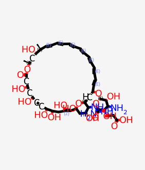 C[C@H]1CC(O)[C@@H](C)/C=C/C=C/C=C/C=C/C=C/C=C/C=C/C(O[C@H]2OC(N)C(O)C(N)C2O)C[C@@H]2OC(O)(/C=C(\O)CC(O)C(O)CCC(O)CC(O)CC(=O)O1)C[C@H](O)C2NC(=O)NCCC(=O)O